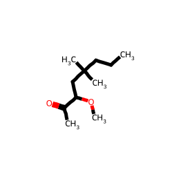 CCCC(C)(C)CC(OC)C(C)=O